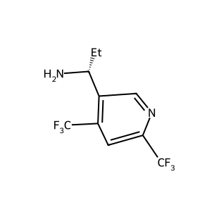 CC[C@@H](N)c1cnc(C(F)(F)F)cc1C(F)(F)F